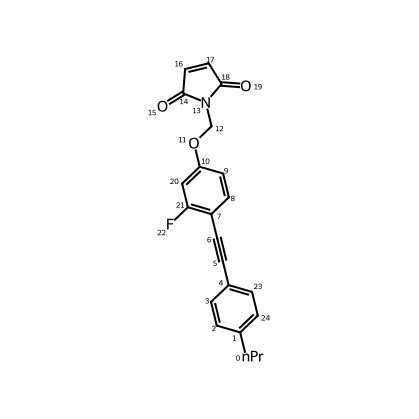 CCCc1ccc(C#Cc2ccc(OCN3C(=O)C=CC3=O)cc2F)cc1